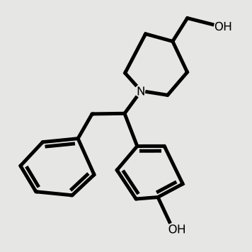 OCC1CCN(C(Cc2ccccc2)c2ccc(O)cc2)CC1